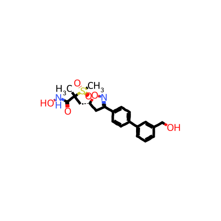 CC(C[C@H]1CC(c2ccc(-c3cccc(CO)c3)cc2)=NO1)(C(=O)NO)S(C)(=O)=O